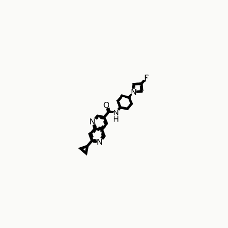 O=C(NC1CCC(N2CC(F)C2)CC1)c1cnc2cc(C3CC3)ncc2c1